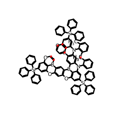 Cc1ccccc1N1c2cc3c(cc2B2c4cc5c(cc4Oc4cc([Si](c6ccccc6)(c6ccccc6)c6ccccc6)cc1c42)Oc1cc([Si](c2ccccc2)(c2ccccc2)c2ccccc2)cc2c1B5c1ccccc1O2)B1c2ccccc2Oc2cc([Si](c4ccccc4)(c4ccccc4)c4ccccc4)cc(c21)N3c1c(C)cccc1C